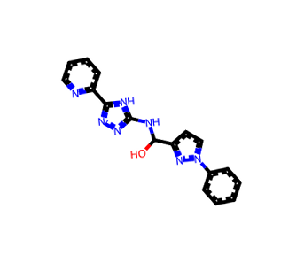 OC(Nc1nnc(-c2ccccn2)[nH]1)c1ccn(-c2ccccc2)n1